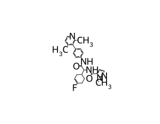 Cc1ccnc(C)c1-c1ccc(NC(=O)[C@@H](NC(=O)c2ccnn2C)C2CC=C(F)CC2)cc1